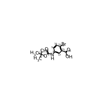 CC(C)(C)OC(=O)Nc1ccc(Br)c(C(=O)O)c1